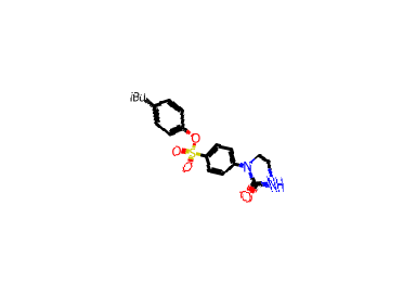 CCC(C)c1ccc(OS(=O)(=O)c2ccc(N3CCNC3=O)cc2)cc1